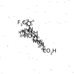 Cc1cc(-c2nc(NC(O)c3cnc(N4CCN(CCC(=O)O)CC4)cn3)sc2CN2CCCC[C@H]2C)cc(C(F)(F)F)c1